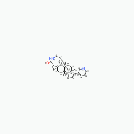 C[C@]12CCCNC(=O)C[C@@H]1CC[C@@H]1[C@@H]2CC[C@]2(C)C(c3cccnc3)=CC[C@@H]12